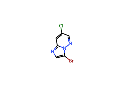 Clc1cnn2c(Br)cnc2c1